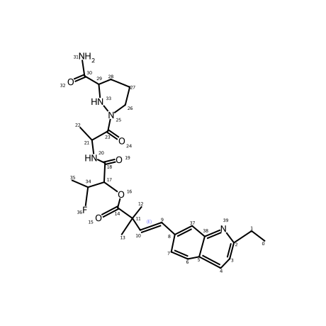 CCc1ccc2ccc(/C=C/C(C)(C)C(=O)OC(C(=O)NC(C)C(=O)N3CCCC(C(N)=O)N3)C(C)F)cc2n1